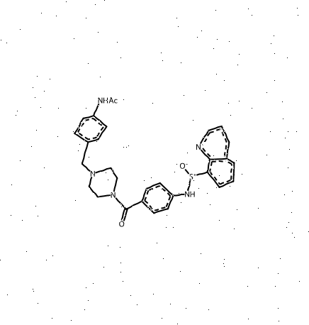 CC(=O)Nc1ccc(CN2CCN(C(=O)c3ccc(N[S+]([O-])c4cccc5cccnc45)cc3)CC2)cc1